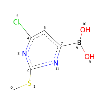 CSc1nc(Cl)cc(B(O)O)n1